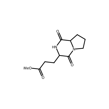 COC(=O)CCC1NC(=O)C2CCCN2C1=O